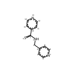 S=C(NCc1ccncc1)c1ccncc1